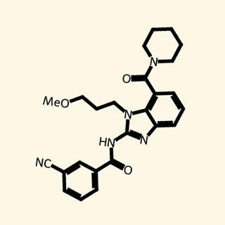 COCCCn1c(NC(=O)c2cccc(C#N)c2)nc2cccc(C(=O)N3CCCCC3)c21